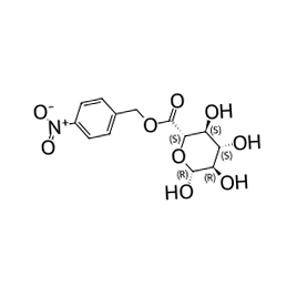 O=C(OCc1ccc([N+](=O)[O-])cc1)[C@H]1O[C@@H](O)[C@H](O)[C@@H](O)[C@@H]1O